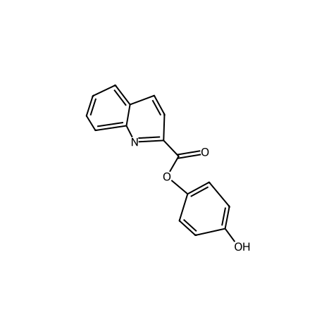 O=C(Oc1ccc(O)cc1)c1ccc2ccccc2n1